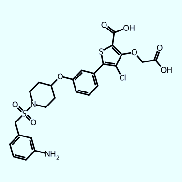 Nc1cccc(CS(=O)(=O)N2CCC(Oc3cccc(-c4sc(C(=O)O)c(OCC(=O)O)c4Cl)c3)CC2)c1